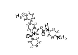 Cc1cccc(-c2ccc3c(c2)c(CC(=O)NC2CCC(N)CC2)cn3C(=O)C2CCCCC2)c1